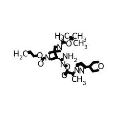 C=CCOC(=O)N1C[C@H](/C(N)=N/OC(=O)C(C)n2ccc(C3CCOCC3)n2)C2(C1)CN(C(=O)OC(C)(C)C)C2